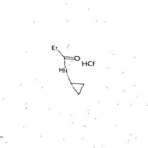 CCC(=O)NC1CC1.Cl